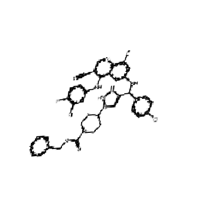 N#Cc1cnc2c(F)cc(NC(C3=CN(C4CCN(C(=O)OCc5ccccc5)CC4)NN3)c3ccc(Cl)cc3)cc2c1Nc1ccc(F)c(Cl)c1